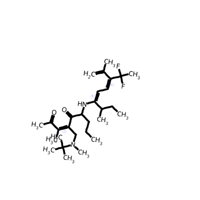 C=C(C)/C(=C\C=C(\NC(CCC)C(=O)/C(CN(C)C(C)(C)C)=C(/C)C(C)=O)C(C)CC)C(C)(F)F